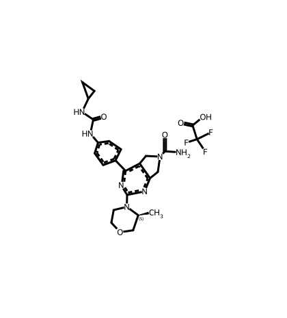 C[C@H]1COCCN1c1nc2c(c(-c3ccc(NC(=O)NC4CC4)cc3)n1)CN(C(N)=O)C2.O=C(O)C(F)(F)F